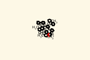 CC1(C)CCC(C)(C)c2cc3c(cc21)B1c2cc4c(cc2N(c2cccc5sc6ccccc6c25)c2cc(N5c6ccccc6C6(C)CCCCC56C)cc(c21)N3c1cccc2c1sc1ccccc12)C(C)(C)CCC4(C)C